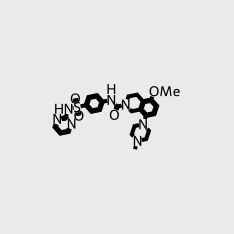 COc1ccc(N2CCN(C)CC2)c2c1CCN(C(=O)Nc1ccc(S(=O)(=O)Nc3ncccn3)cc1)C2